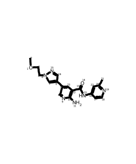 COCCn1cc(-c2cnc(N)c(C(=O)Nc3ccnc(C)c3)c2)cn1